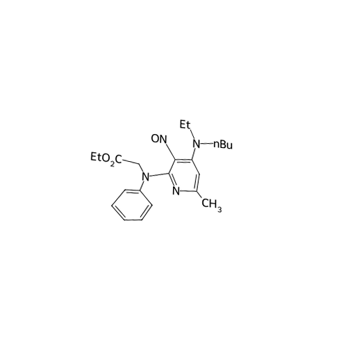 CCCCN(CC)c1cc(C)nc(N(CC(=O)OCC)c2ccccc2)c1N=O